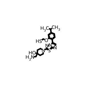 CC(C)c1ccc(-c2cnc3sc(N4CCC(O)(CN)CC4)nn23)c(OCS)c1